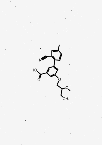 COC(CO)COc1cc(C(=O)O)cc(-c2ccc(C)cc2C#N)c1